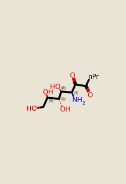 CCCC(=O)C(=O)[C@@H](N)[C@@H](O)[C@H](O)[C@H](O)CO